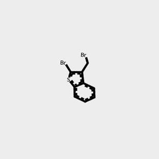 BrCc1c(Br)sc2ccccc12